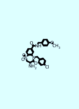 COc1ccc(CNC(=O)c2ccc3c(c2)N(Cc2ccc(Cl)cc2)C(=O)[C@@H](N)CS3(=O)=O)cc1